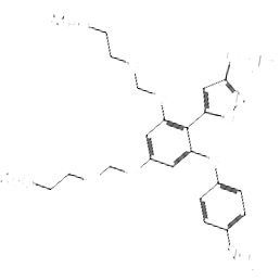 CCOC(=O)c1cc(-c2c(OCOCCOC)cc(OCOCCOC)cc2Oc2ccc([N+](=O)[O-])cc2)on1